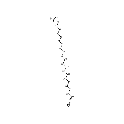 CCCCCCCCCCCCCCCCCCCCCC=C=O